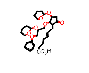 O=C(O)CCCC=CCC1C(=O)CC(OC2CCCCO2)C1OCC(COc1ccccc1)OC1CCCCO1